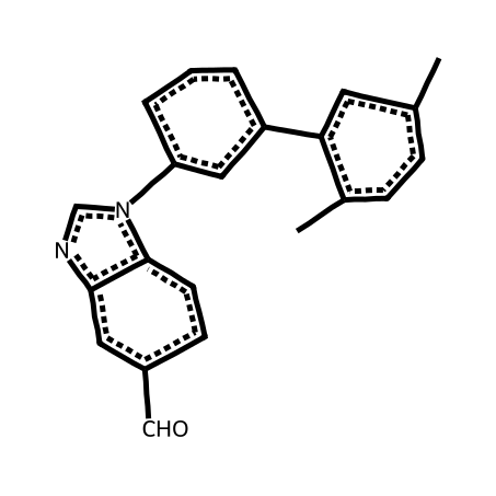 Cc1ccc(C)c(-c2cccc(-n3cnc4cc(C=O)ccc43)c2)c1